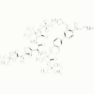 CC(C)(C)OC(=O)Nc1nc(/C(=N/O[C@](C)(C(=O)OC(C)(C)C)[C@H]2CCc3cc(-c4ccc(NCCN)[n+](CC5CNC5)c4)ccc3O2)C(=O)N[C@@H]2C(=O)N(OS(=O)(=O)[O-])C2(C)C)cs1